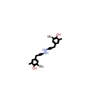 Cc1cc(CC#CNNC#CCc2cc(C)c(O)c(C(C)(C)C)c2)cc(C(C)(C)C)c1O